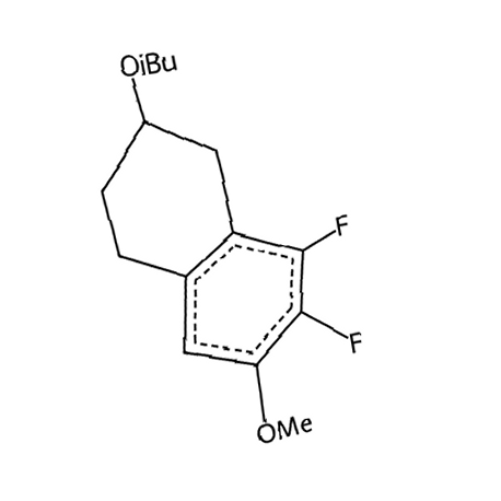 COc1cc2c(c(F)c1F)CC(OCC(C)C)CC2